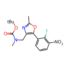 Cc1nc(CN(C)C(=O)OC(C)(C)C)c(-c2cccc([N+](=O)[O-])c2F)o1